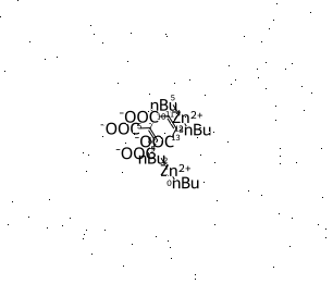 CCC[CH2][Zn+2][CH2]CCC.CCC[CH2][Zn+2][CH2]CCC.O=C([O-])/C=C\C(=O)[O-].O=C([O-])/C=C\C(=O)[O-]